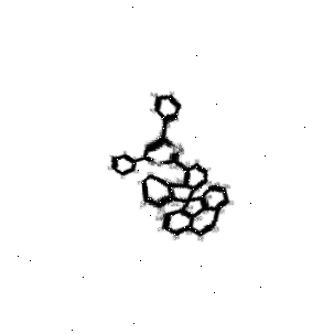 c1ccc(-c2cc(-c3ccccc3)nc(-c3cccc4c3-c3ccccc3C43c4cccc5ccc6cccc3c6c45)n2)cc1